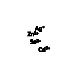 [Ag+].[Cd+2].[Se-2].[Zn+2]